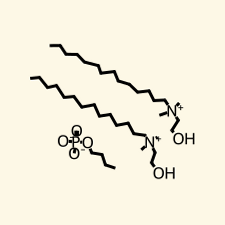 CCCCCCCCCCCCCC[N+](C)(C)CCO.CCCCCCCCCCCCCC[N+](C)(C)CCO.CCCCOP(=O)([O-])[O-]